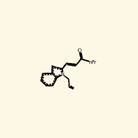 C=CCn1c(C=CC(=O)CCC)cc2ccccc21